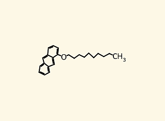 CCCCCCCCCCOc1cccc2cc3ccccc3cc12